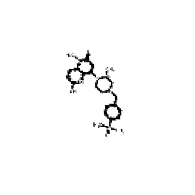 C[C@H]1CN(Cc2ccc(P(C)(C)=O)cc2)CCN1c1cc(=O)n(C)c2ccc(C#N)nc12